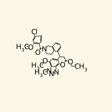 CCOC(=O)CC(c1cc(OC)c2c(c1)nnn2C)c1cccc2c1CCN(C(=O)c1ccc(Cl)cc1OC)C2